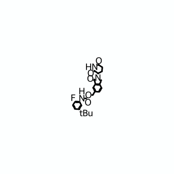 CC(C)(C)c1ccc(F)c(NC(=O)OCc2ccc3c(c2)C(=O)N(C2CCC(=O)NC2=O)C3)c1